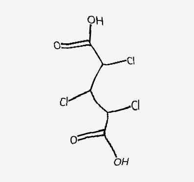 O=C(O)C(Cl)C(Cl)C(Cl)C(=O)O